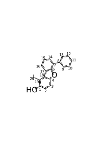 Oc1ccc2oc3c(-c4ccccc4)cccc3c2c1I